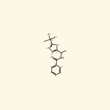 CC(NC(=O)c1ccccc1)c1nnc(C(F)(F)F)s1